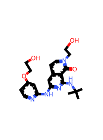 CC(C)(C)Nc1nc(Nc2cc(OCCO)ccn2)cc2ccn(CCO)c(=O)c12